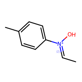 C/C=[N+](\O)c1ccc(C)cc1